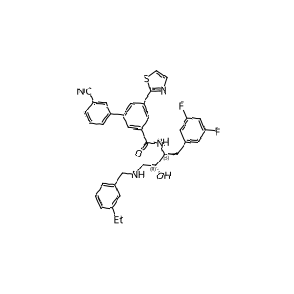 CCc1cccc(CNC[C@@H](O)[C@H](Cc2cc(F)cc(F)c2)NC(=O)c2cc(-c3cccc(C#N)c3)cc(-c3nccs3)c2)c1